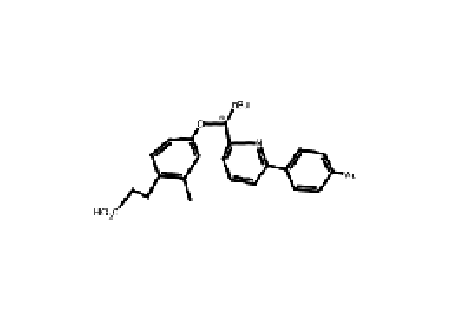 CCCC[C@H](Oc1ccc(CCC(=O)O)c(C)c1)c1cccc(-c2ccc(C(C)=O)cc2)n1